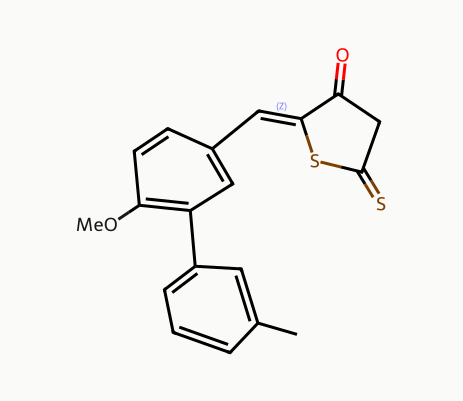 COc1ccc(/C=C2\SC(=S)CC2=O)cc1-c1cccc(C)c1